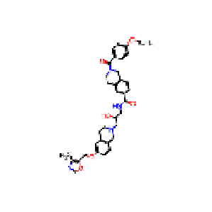 COc1ccc(C(=O)N2CCc3cc(C(=O)NCC(O)CN4CCc5cc(OCc6ocnc6C)ccc5C4)ccc3C2)cc1